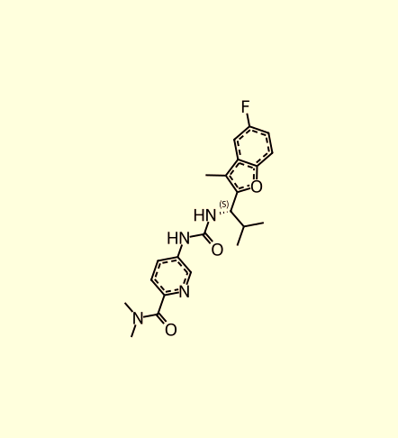 Cc1c([C@@H](NC(=O)Nc2ccc(C(=O)N(C)C)nc2)C(C)C)oc2ccc(F)cc12